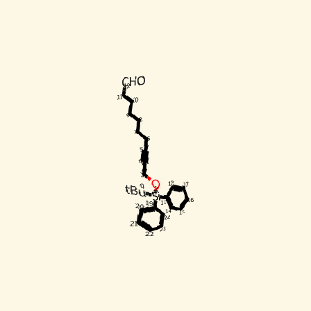 CC(C)(C)[Si](OCC#CCCCCCCC=O)(c1ccccc1)c1ccccc1